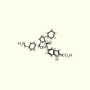 NC[C@H]1CC[C@H](C(=O)N2CC[C@@H](C3CCCCC3)[C@H]2C(=O)Nc2ccc3[nH]c(C(=O)O)cc3c2)CC1